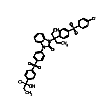 CCC(O)(Cl)c1ccc(S(=O)(=O)c2ccc(-n3c(=O)n(C(CC)(CC)c4ccc(S(=O)(=O)c5ccc(Cl)cc5)cc4)c4ccccc43)cc2)cc1